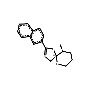 F[C@H]1CCCO[C@@]12CN=C(c1ccc3ccccc3c1)O2